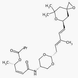 CC(/C=C/[C@@H]1C[C@]2(CO2)CC(C)(C)O1)=C\C[C@H]1OC[C@@H](NC(=O)/C=C\[C@H](C)OC(=O)C(C)C)CO1